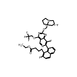 CCOC(=O)CCCc1c(F)ccc2cccc(-c3ncc4c(OCC(F)(F)F)nc(OC[C@@]56CCCN5C[C@H](F)C6)nc4c3F)c12